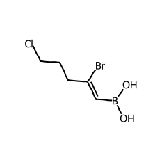 OB(O)C=C(Br)CCCCl